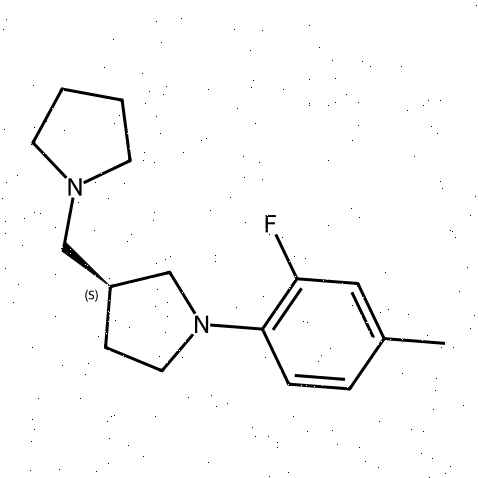 Cc1ccc(N2CC[C@@H](CN3CCCC3)C2)c(F)c1